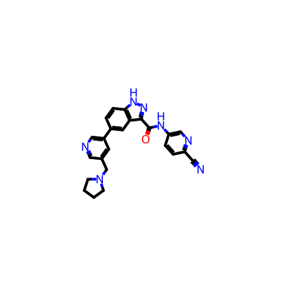 N#Cc1ccc(NC(=O)c2n[nH]c3ccc(-c4cncc(CN5CCCC5)c4)cc23)cn1